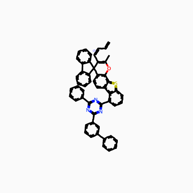 C=C/C=C\C1=C(C)Oc2c(ccc3c2sc2cccc(-c4nc(-c5ccccc5)nc(-c5cccc(-c6ccccc6)c5)n4)c23)C12c1ccccc1-c1ccccc12